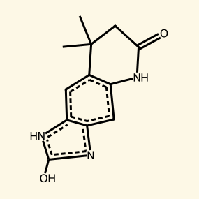 CC1(C)CC(=O)Nc2cc3nc(O)[nH]c3cc21